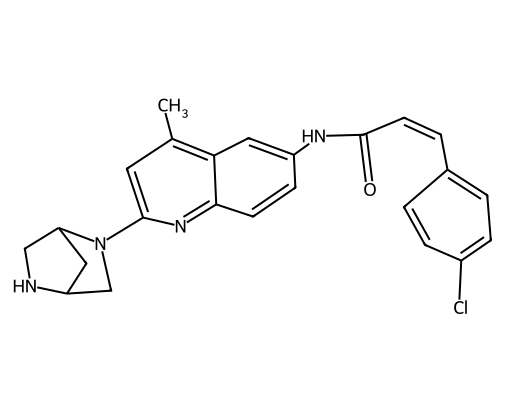 Cc1cc(N2CC3CC2CN3)nc2ccc(NC(=O)/C=C\c3ccc(Cl)cc3)cc12